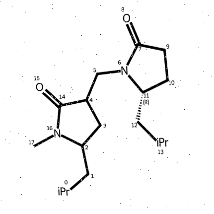 CC(C)CC1CC(CN2C(=O)CC[C@@H]2CC(C)C)C(=O)N1C